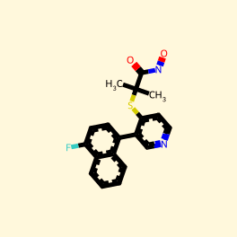 CC(C)(Sc1ccncc1-c1ccc(F)c2ccccc12)C(=O)N=O